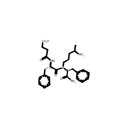 CC(N)CCCN(C(=O)[C@H](Cc1ccccc1)NC(=O)CCC(=O)O)[C@@H](Cc1ccccc1)C(N)=O